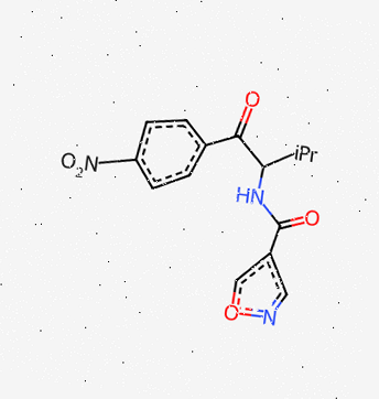 CC(C)C(NC(=O)c1cnoc1)C(=O)c1ccc([N+](=O)[O-])cc1